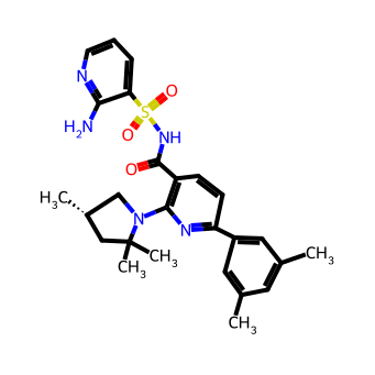 Cc1cc(C)cc(-c2ccc(C(=O)NS(=O)(=O)c3cccnc3N)c(N3C[C@@H](C)CC3(C)C)n2)c1